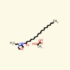 CC(O)C(=O)O.CCCCCCCCCCCCCCCCCC(=O)NC1COCCN1CCC